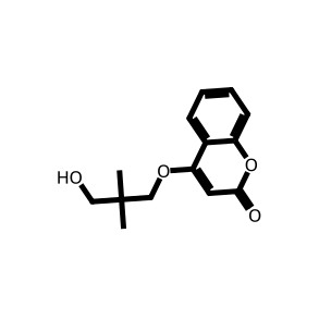 CC(C)(CO)COc1cc(=O)oc2ccccc12